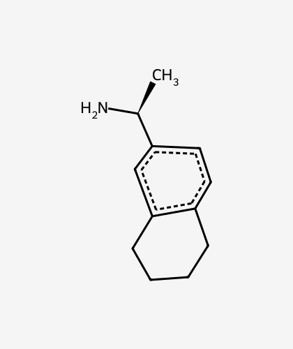 C[C@H](N)c1ccc2c(c1)CCCC2